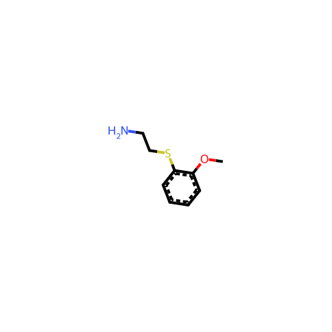 COc1ccccc1SCCN